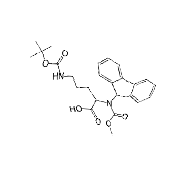 COC(=O)N(C(CCCNC(=O)OC(C)(C)C)C(=O)O)C1c2ccccc2-c2ccccc21